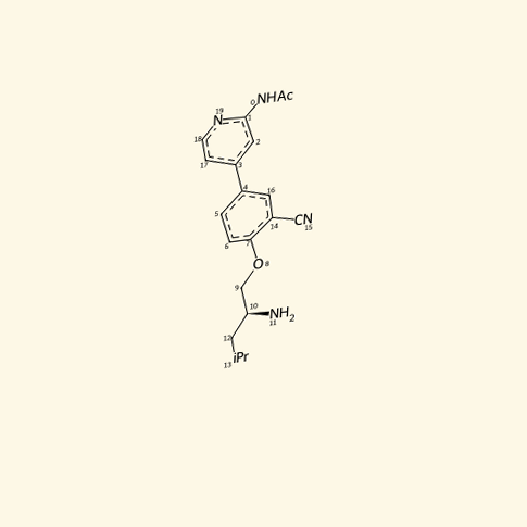 CC(=O)Nc1cc(-c2ccc(OC[C@@H](N)CC(C)C)c(C#N)c2)ccn1